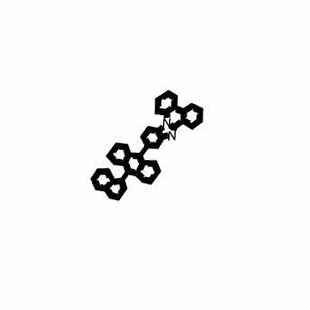 c1ccc2c(-c3c4ccccc4c(-c4ccc5c(c4)nc4c6ccccc6c6ccccc6n54)c4ccccc34)cccc2c1